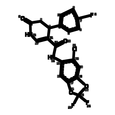 O=C1CC(c2ccc(F)cc2)C(C(=O)Nc2cc3c(cc2Cl)OC(F)(F)O3)=CN1